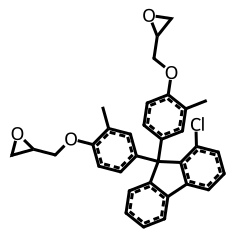 Cc1cc(C2(c3ccc(OCC4CO4)c(C)c3)c3ccccc3-c3cccc(Cl)c32)ccc1OCC1CO1